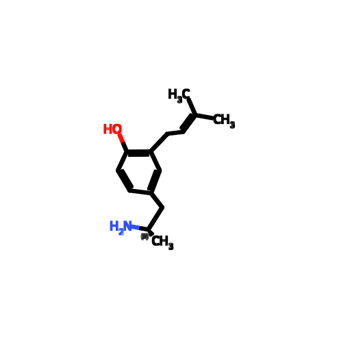 CC(C)=CCc1cc(C[C@@H](C)N)ccc1O